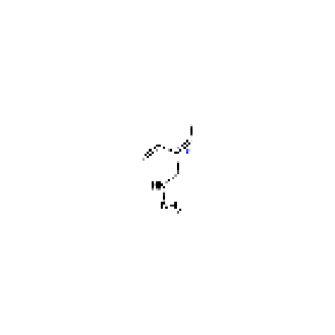 C=C/C(=C\C)CNN